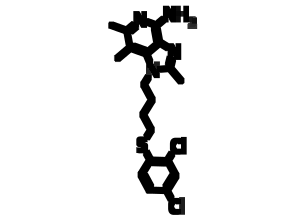 Cc1nc(N)c2nc(C)n(CCCCSc3ccc(Cl)cc3Cl)c2c1C